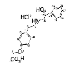 Cl.O=C(O)COc1ccc(CCNCC(O)c2ccccc2)cc1